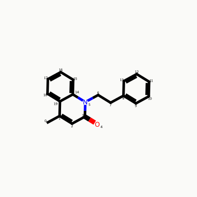 Cc1cc(=O)n(CCc2ccccc2)c2ccccc12